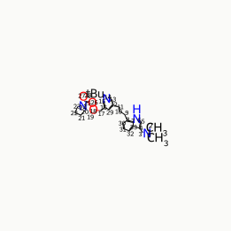 CN(C)Cc1c[nH]c2c(CCCc3cncc(COC[C@@H]4CCCN4C(=O)OC(C)(C)C)c3)cccc12